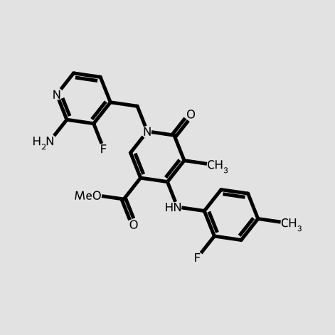 COC(=O)c1cn(Cc2ccnc(N)c2F)c(=O)c(C)c1Nc1ccc(C)cc1F